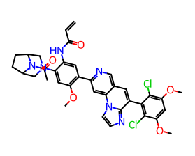 C=CC(=O)Nc1cc(-c2cc3c(cn2)cc(-c2c(Cl)c(OC)cc(OC)c2Cl)c2nccn23)c(OC)cc1N1CC2CCC(C1)N2C(C)=O